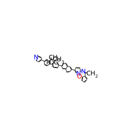 C=C1N=C2C=CC(c3ccc4cc(C(/C=C\C5=CC(C)(C)c6cc(-c7ccncc7)ccc65)=C/C)ccc4c3)=CN2Oc2ccccc21